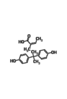 CC(C)(c1ccc(O)cc1)c1ccc(O)cc1.CC=C(C)C(=O)O